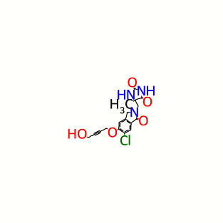 CC1(CN2Cc3cc(OCC#CCO)c(Cl)cc3C2=O)NC(=O)NC1=O